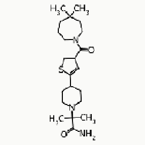 CC1(C)CCCN(C(=O)C2C=C(C3CCN(C(C)(C)C(N)=O)CC3)SC2)CC1